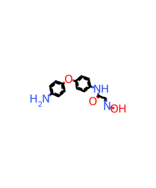 Nc1ccc(Oc2ccc(NC(=O)/C=N/O)cc2)cc1